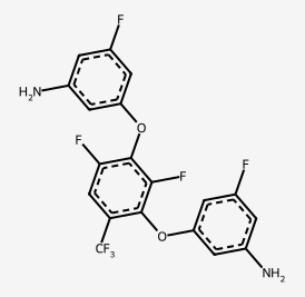 Nc1cc(F)cc(Oc2c(F)cc(C(F)(F)F)c(Oc3cc(N)cc(F)c3)c2F)c1